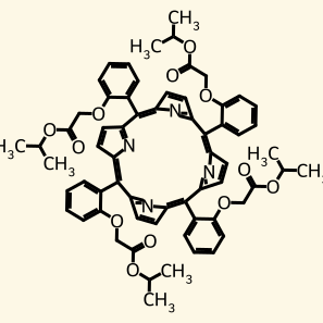 CC(C)OC(=O)COc1ccccc1C1=C2C=CC(=N2)C(c2ccccc2OCC(=O)OC(C)C)=C2C=CC(=N2)C(c2ccccc2OCC(=O)OC(C)C)=C2C=CC(=N2)C(c2ccccc2OCC(=O)OC(C)C)=C2C=CC1=N2